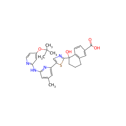 Cc1cc(Nc2cc(OC(C)(C)C)ccn2)nc(-c2cnc(C3(O)CCCc4cc(C(=O)O)ccc43)s2)c1